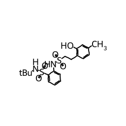 Cc1ccc(CCS(=O)(=O)Nc2ccccc2S(=O)(=O)NC(C)(C)C)c(O)c1